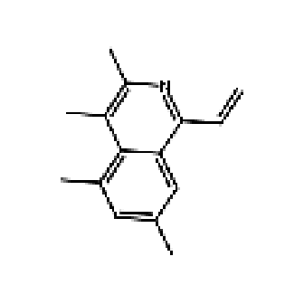 C=Cc1nc(C)c(C)c2c(C)cc(C)cc12